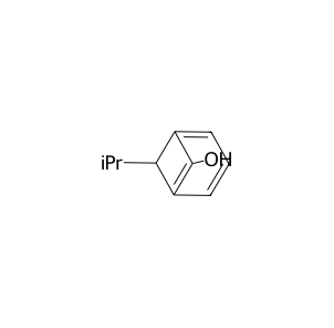 CC(C)C1c2cccc1c2O